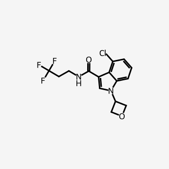 O=C(NCCC(F)(F)F)c1cn(C2COC2)c2cccc(Cl)c12